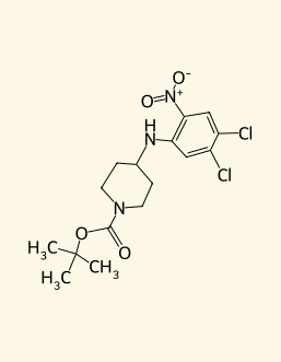 CC(C)(C)OC(=O)N1CCC(Nc2cc(Cl)c(Cl)cc2[N+](=O)[O-])CC1